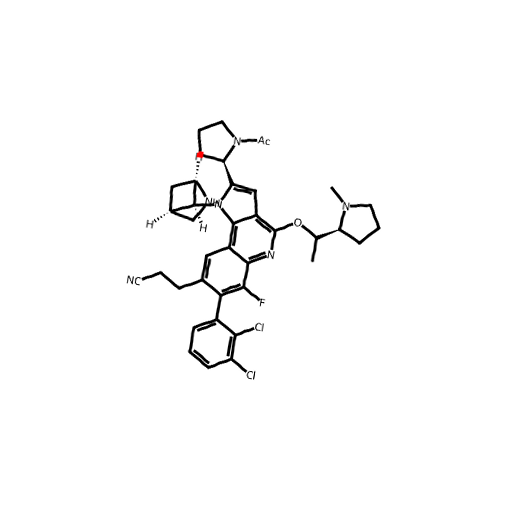 CC(=O)N1CCC[C@@H]1c1cc2c(OC(C)[C@@H]3CCCN3C)nc3c(F)c(-c4cccc(Cl)c4Cl)c(CCC#N)cc3c2n1[C@H]1[C@H]2CN[C@@H]1C2